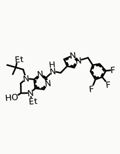 CCN1c2cnc(NCc3cnn(Cc4cc(F)c(F)c(F)c4)c3)nc2N(CC(C)(C)CC)CC1O